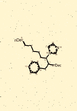 CCCCCCCCCCCCCCCC(C(CCCCCCCCCC)Cc1ccccc1)n1ccnc1